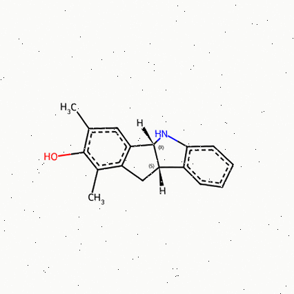 Cc1cc2c(c(C)c1O)C[C@H]1c3ccccc3N[C@@H]21